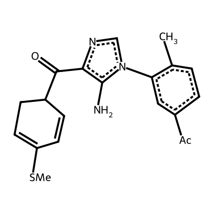 CSC1=CCC(C(=O)c2ncn(-c3cc(C(C)=O)ccc3C)c2N)C=C1